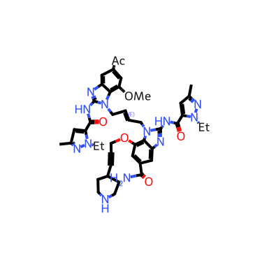 CCn1nc(C)cc1C(=O)Nc1nc2cc(C(C)=O)cc(OC)c2n1C/C=C/Cn1c(NC(=O)c2cc(C)nn2CC)nc2cc(C(N)=O)cc(OCC#CC3CCNCC3)c21